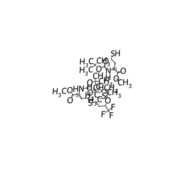 COC(=O)[C@H](CCS)NC(=O)OC(C)(C)C.COC(=O)[C@H](CCSCCC(O[Si](C)(C)C(C)(C)C)C(F)(F)F)NC(=O)OC(C)(C)C